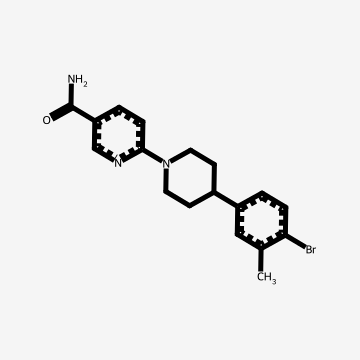 Cc1cc(C2CCN(c3ccc(C(N)=O)cn3)CC2)ccc1Br